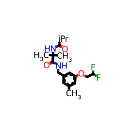 Cc1cc(CNC(=O)C(C)(C)NC(=O)C(C)C)cc(OCC(F)F)c1